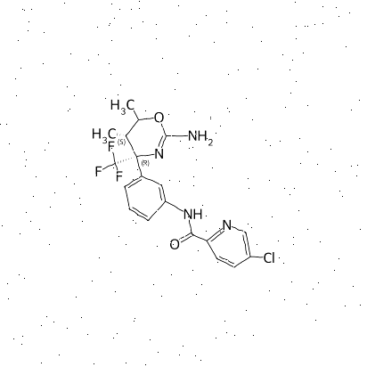 CC1OC(N)=N[C@](c2cccc(NC(=O)c3ccc(Cl)cn3)c2)(C(F)(F)F)[C@@H]1C